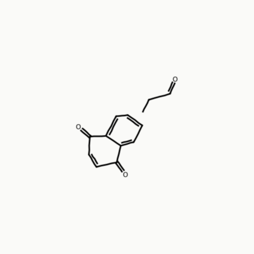 CCC=O.O=C1C=CC(=O)c2ccccc21